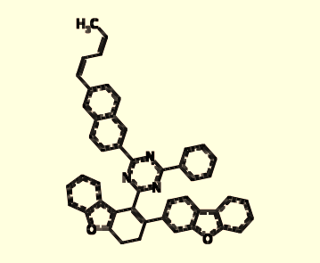 C/C=C\C=C/c1ccc2cc(-c3nc(C4=C(c5ccc6c(c5)oc5ccccc56)CCc5oc6ccccc6c54)nc(-c4ccccc4)n3)ccc2c1